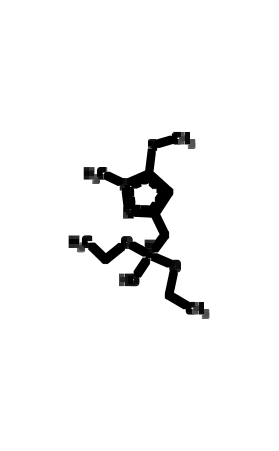 CCO[PH](O)(Cc1cc(SC)n(C)n1)OCC